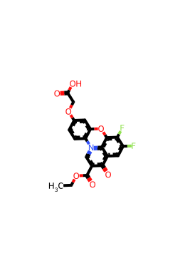 CCOC(=O)c1cn2c3c(c(F)c(F)cc3c1=O)Oc1cc(OCC(=O)O)ccc1-2